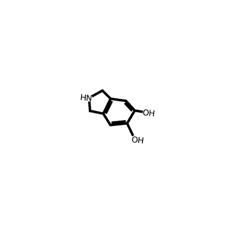 Oc1cc2c(cc1O)CNC2